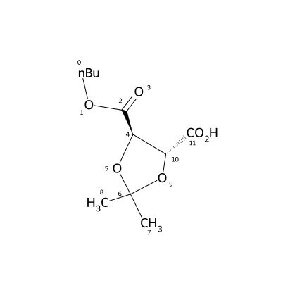 CCCCOC(=O)[C@@H]1OC(C)(C)O[C@H]1C(=O)O